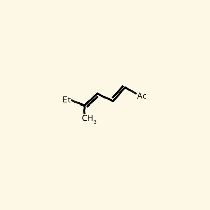 CCC(C)=CC=CC(C)=O